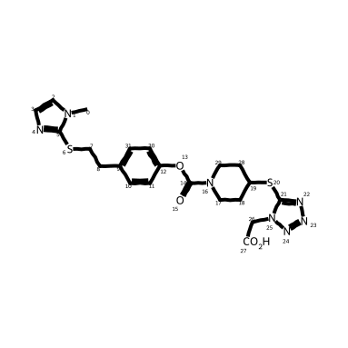 Cn1ccnc1SCCc1ccc(OC(=O)N2CCC(Sc3nnnn3CC(=O)O)CC2)cc1